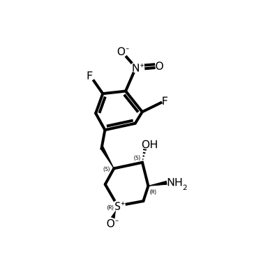 N[C@H]1C[S@@+]([O-])C[C@@H](Cc2cc(F)c([N+](=O)[O-])c(F)c2)[C@@H]1O